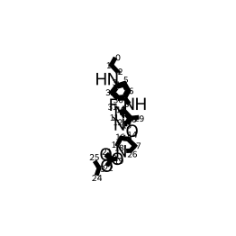 CCCNc1ccc(Nc2ncnc(OC3CCN(OC(=O)OC(C)C)CC3)c2C)c(F)c1